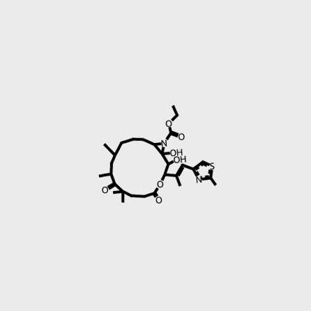 CCOC(=O)N1C2CCCC(C)CC(C)C(=O)C(C)(C)CCC(=O)OC(C(C)=Cc3csc(C)n3)C(O)C21O